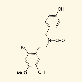 COc1cc(Br)c(CCN(C=O)Cc2ccc(O)cc2)cc1O